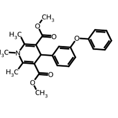 COC(=O)C1=C(C)N(C)C(C)=C(C(=O)OC)C1c1cccc(Oc2ccccc2)c1